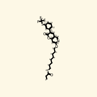 CCC(=O)SCCCCCCCCOc1cc2oc(=O)c(-c3cccc(SC(F)(F)F)c3)cc2cn1